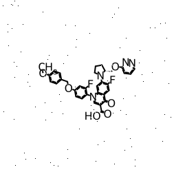 COc1ccc(COc2ccc(-n3cc(C(=O)O)c(=O)c4cc(F)c(N5CCC[C@@H]5COc5cccnn5)cc43)c(F)c2)cc1